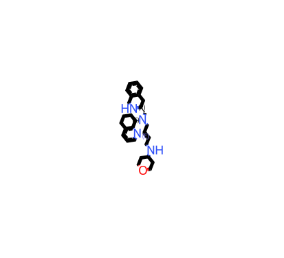 C(=C\CN(C[C@H]1Cc2ccccc2CN1)[C@H]1CCCc2cccnc21)/CNC1CCOCC1